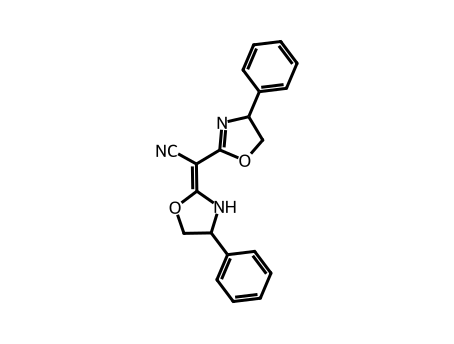 N#CC(C1=NC(c2ccccc2)CO1)=C1NC(c2ccccc2)CO1